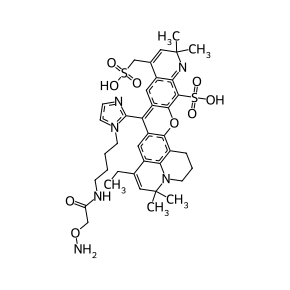 CCC1=CC(C)(C)N2CCCc3c4c(cc1c32)C(c1nccn1CCCCNC(=O)CON)=c1cc2c(c(S(=O)(=O)O)c1O4)=NC(C)(C)C=C2CS(=O)(=O)O